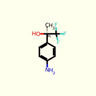 C[C@@](O)(c1ccc(N)cc1)C(F)(F)F